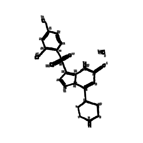 Cl.O=c1cc(C2CCNCC2)n2ncc(S(=O)(=O)c3ccc(Cl)cc3Cl)c2[nH]1